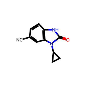 N#Cc1ccc2[nH]c(=O)n(C3CC3)c2c1